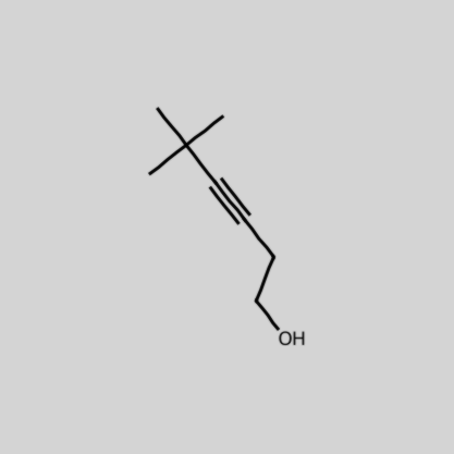 CC(C)(C)C#CCCO